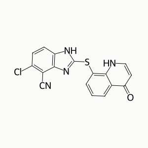 N#Cc1c(Cl)ccc2[nH]c(Sc3cccc4c(=O)cc[nH]c34)nc12